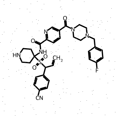 C=CC(c1ccc(C#N)cc1)S(=O)(=O)C1(NC(=O)c2ccc(C(=O)N3CCN(Cc4ccc(F)cc4)CC3)cn2)CCNCC1